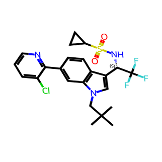 CC(C)(C)Cn1cc([C@H](NS(=O)(=O)C2CC2)C(F)(F)F)c2ccc(-c3ncccc3Cl)cc21